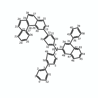 c1ccc(-c2ccc(N(c3ccc(-c4ccc5ccc6ccc7ccccc7c6c5c4)cc3)c3cc(-c4ccccc4)c4ccccc4c3)cc2)cc1